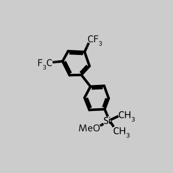 CO[Si](C)(C)c1ccc(-c2cc(C(F)(F)F)cc(C(F)(F)F)c2)cc1